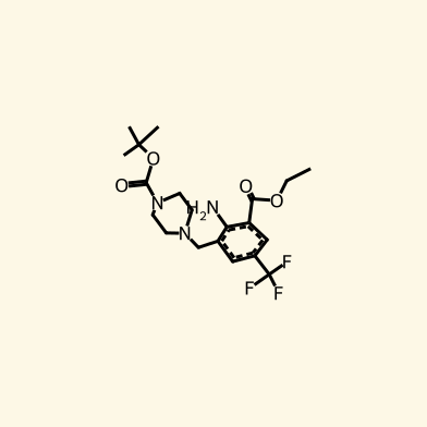 CCOC(=O)c1cc(C(F)(F)F)cc(CN2CCN(C(=O)OC(C)(C)C)CC2)c1N